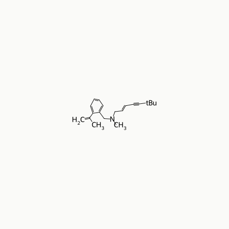 C=C(C)c1ccccc1CN(C)CC=CC#CC(C)(C)C